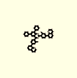 Cc1cc(-c2cccc3cccnc23)ccc1-c1nc(C2C=CC(c3cccc4cccnc34)=CC2C)nc2c(-c3ccccc3)cc(-c3ccccc3)cc12